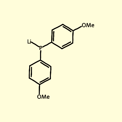 [Li][P](c1ccc(OC)cc1)c1ccc(OC)cc1